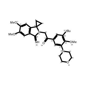 COc1cc2c(cc1OC)C1(CC1)N(CC(=O)c1cc(N3CCOCC3)c(OC)c(C(C)(C)C)c1)C2=N